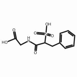 O=C(O)CNC(=O)C(Cc1ccccc1)S(=O)(=O)O